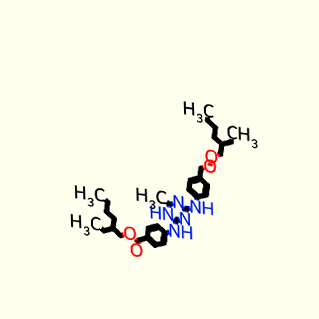 CCCCC(CC)COOCc1ccc(NC2=NC(C)NC(Nc3ccc(C(=O)OCC(CC)CCCC)cc3)=N2)cc1